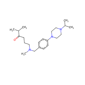 CC(C)C(=O)CCCN(C)Cc1ccc(N2CCN(C(C)C)CC2)cc1